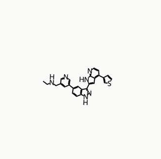 CCNCc1cncc(-c2ccc3[nH]nc(-c4cc5c(-c6ccsc6)ccnc5[nH]4)c3c2)c1